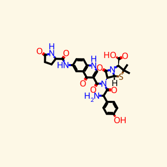 CC1(C)S[C@@H]2[C@H](N(C(=O)c3c[nH]c4ccc(NC(=O)C5CCC(=O)N5)cc4c3=O)C(=O)C(N)c3ccc(O)cc3)C(=O)N2[C@H]1C(=O)O